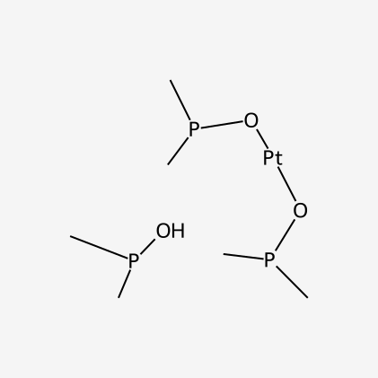 CP(C)O.CP(C)[O][Pt][O]P(C)C